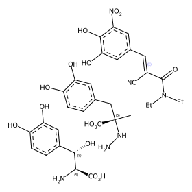 CCN(CC)C(=O)/C(C#N)=C/c1cc(O)c(O)c([N+](=O)[O-])c1.C[C@@](Cc1ccc(O)c(O)c1)(NN)C(=O)O.N[C@H](C(=O)O)[C@@H](O)c1ccc(O)c(O)c1